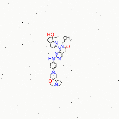 C=CCN1C(=O)Cc2cnc(Nc3ccc(N4CCC5(CC4)OCCN4CCCC45)cc3)nc2N1c1ccc2c(n1)[C@@](O)(CC)CC2